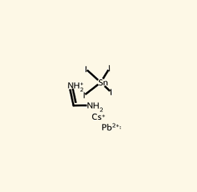 NC=[NH2+].[Cs+].[I][Sn]([I])([I])[I].[Pb+2]